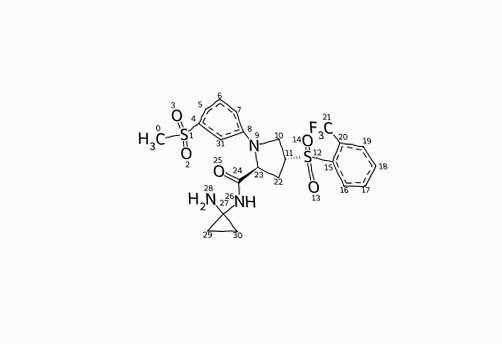 CS(=O)(=O)c1cccc(N2C[C@H](S(=O)(=O)c3ccccc3C(F)(F)F)C[C@H]2C(=O)NC2(N)CC2)c1